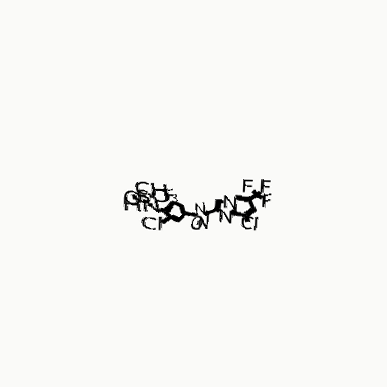 CS(=O)(=O)Nc1c(F)cc(-c2nc(-c3cn4cc(C(F)(F)F)cc(Cl)c4n3)no2)cc1Cl